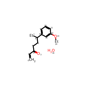 C=CC(=O)CCC(CC)c1cccc(OCC)c1.O